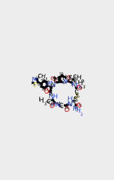 Cc1ncsc1-c1ccc([C@H]2NC(=O)[C@@H]3CCCN3C(=O)[C@H](C(C)(C)C)NC(=O)CSC[C@H](C(N)=O)NC(=O)CNC(=O)[C@H](C)NC2=O)cc1